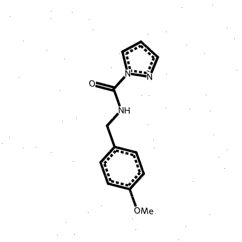 COc1ccc(CNC(=O)n2cccn2)cc1